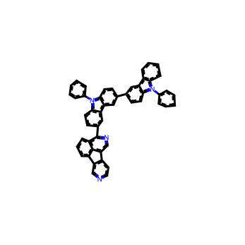 c1ccc(-n2c3ccccc3c3cc(-c4ccc5c(c4)c4cc(-c6ncc7c8c(cccc68)-c6cnccc6-7)ccc4n5-c4ccccc4)ccc32)cc1